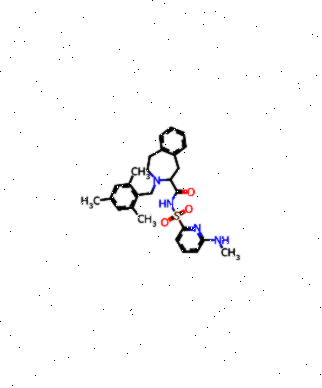 CNc1cccc(S(=O)(=O)NC(=O)C2Cc3ccccc3CCN2Cc2c(C)cc(C)cc2C)n1